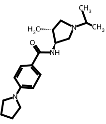 CC(C)N1C[C@@H](C)[C@H](NC(=O)c2ccc(N3CCCC3)cc2)C1